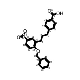 O=C(O)c1ccc(CCCc2cc([N+](=O)[O-])ccc2OCc2ccccc2)cc1